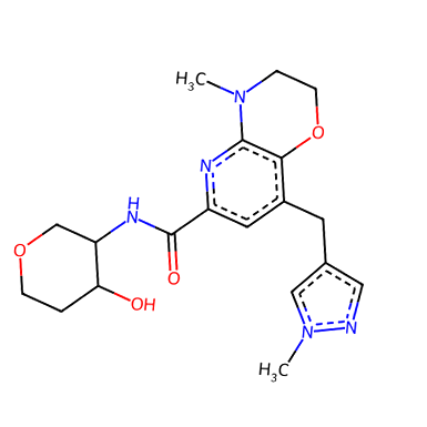 CN1CCOc2c(Cc3cnn(C)c3)cc(C(=O)NC3COCCC3O)nc21